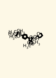 CC1(C)OB(c2ccc(CCC(C)(C(=O)NOC3CCCCO3)S(C)(=O)=O)cc2)OC1(C)C